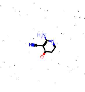 N#CC1=C(N)N=CCC1=O